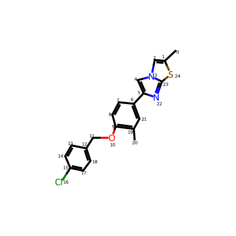 Cc1cn2cc(-c3ccc(OCc4ccc(Cl)cc4)c(C)c3)nc2s1